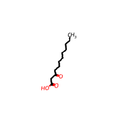 CCCCCCCCCC(=O)CC(=O)O